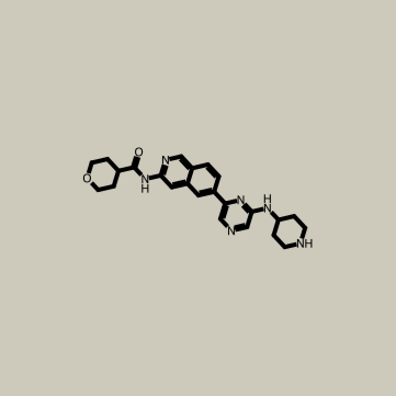 O=C(Nc1cc2cc(-c3cncc(NC4CCNCC4)n3)ccc2cn1)C1CCOCC1